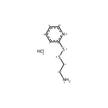 Cl.NCCSSc1ccccn1